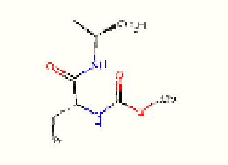 CC(C)C[C@@H](NC(=O)OC(C)(C)C)C(=O)N[C@@H](C)C(=O)O